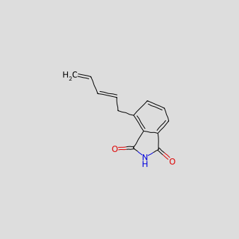 C=CC=CCc1cccc2c1C(=O)NC2=O